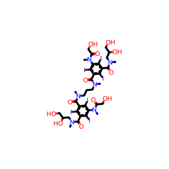 CN(CCCN(C)C(=O)c1c(I)c(C(=O)N(C)CC(O)CO)c(I)c(N(C)C(=O)CO)c1I)C(=O)c1c(I)c(C(=O)N(C)CC(O)CO)c(I)c(N(C)C(=O)CO)c1I